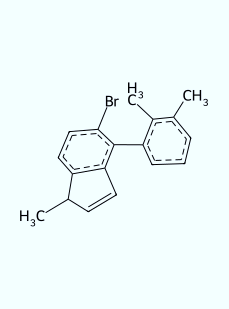 Cc1cccc(-c2c(Br)ccc3c2C=CC3C)c1C